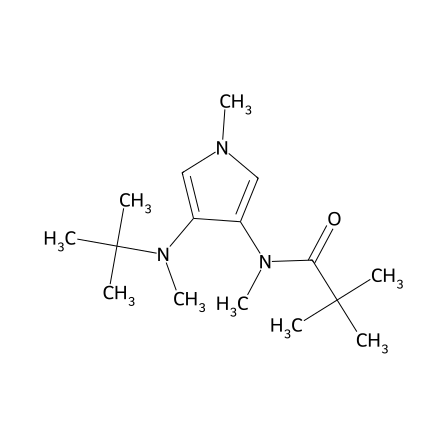 CN(C(=O)C(C)(C)C)c1cn(C)cc1N(C)C(C)(C)C